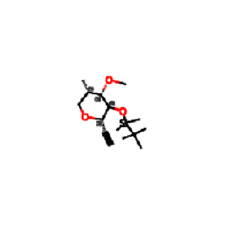 C#C[C@@H]1OC[C@H](C)[C@H](OC)[C@H]1O[Si](C)(C)C(C)(C)C